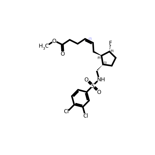 COC(=O)CC/C=C\C[C@@H]1[C@@H](CNS(=O)(=O)c2ccc(Cl)c(Cl)c2)CC[C@H]1F